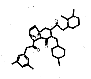 Cc1cc(C)cc(CC(=O)C2C3C=CC4(CC(C(=O)CC5CCCC(C)C5C)C(CC5CCC(C)CC5)C(=O)C24)O3)c1